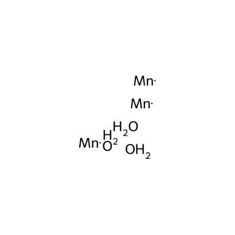 O.O.O.[Mn].[Mn].[Mn]